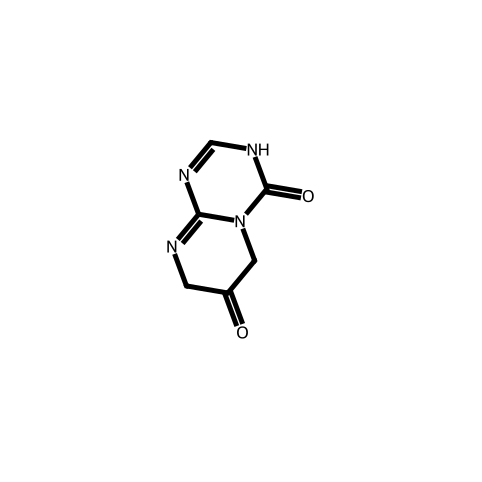 O=C1CN=C2N=CNC(=O)N2C1